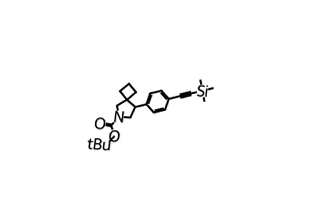 CC(C)(C)OC(=O)N1CC(c2ccc(C#C[Si](C)(C)C)cc2)C2(CCC2)C1